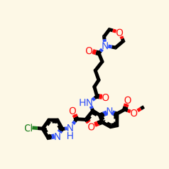 COC(=O)c1ccc2oc(C(=O)Nc3ccc(Cl)cn3)c(NC(=O)CCCCC(=O)N3CCOCC3)c2n1